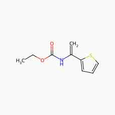 C=C(NC(=O)OCC)c1cccs1